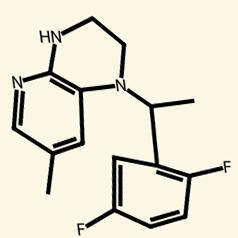 Cc1cnc2c(c1)N(C(C)c1cc(F)ccc1F)CCN2